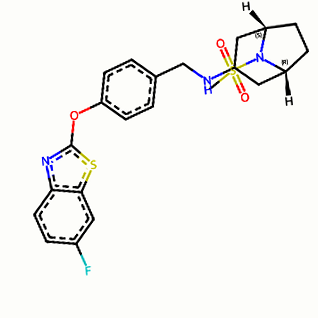 CS(=O)(=O)N1[C@@H]2CC[C@H]1CC(NCc1ccc(Oc3nc4ccc(F)cc4s3)cc1)C2